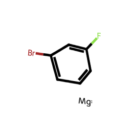 Fc1cccc(Br)c1.[Mg]